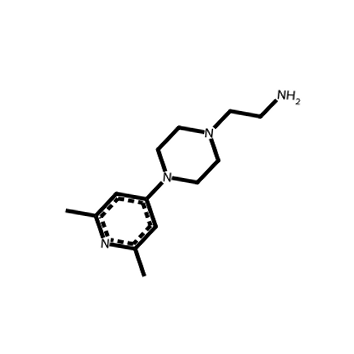 Cc1cc(N2CCN(CCN)CC2)cc(C)n1